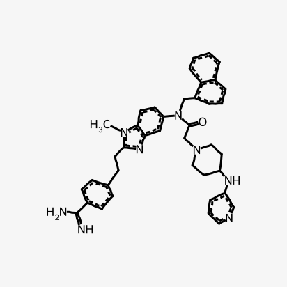 Cn1c(CCc2ccc(C(=N)N)cc2)nc2cc(N(Cc3cccc4ccccc34)C(=O)CN3CCC(Nc4cccnc4)CC3)ccc21